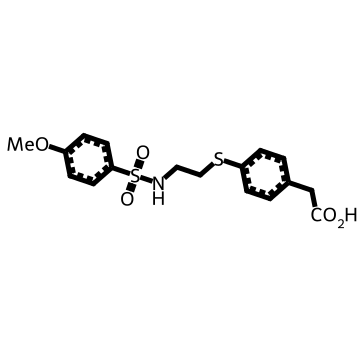 COc1ccc(S(=O)(=O)NCCSc2ccc(CC(=O)O)cc2)cc1